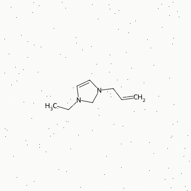 C=CCN1C=CN(CC)C1